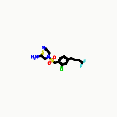 N#CCN(CC(N)=S)S(=O)(=O)Cc1ccc(CCCC(F)F)cc1Cl